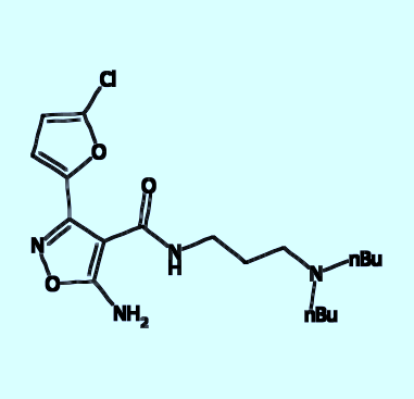 CCCCN(CCCC)CCCNC(=O)c1c(-c2ccc(Cl)o2)noc1N